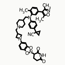 Cc1ccc(-c2c(C)noc2C)cc1N(CC1CCN(CC2CN(c3ccc4c(c3)ON(C3CCC(=O)NC3=O)O4)C2)CC1)c1ccc(C2(C#N)CC2)cc1